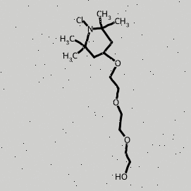 CC1(C)CC(OCCOCCOCCO)CC(C)(C)N1Cl